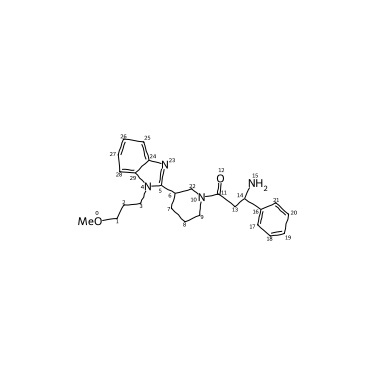 COCCCn1c(C2CCCN(C(=O)CC(N)c3ccccc3)C2)nc2ccccc21